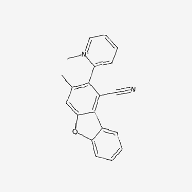 Cc1cc2oc3ccccc3c2c(C#N)c1-c1cccc[n+]1C